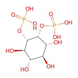 O=P(O)(O)O[C@@H]1[C@H](O)[C@@H](O)[C@H](O)[C@@H](O)[C@@H]1OP(=O)(O)O